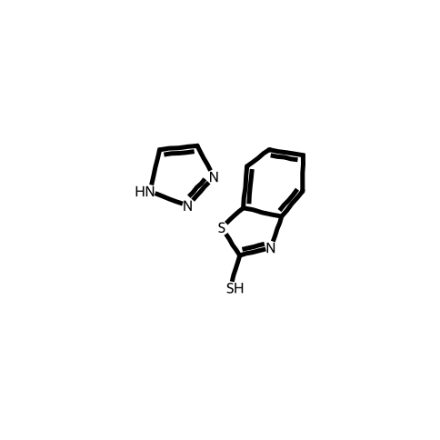 Sc1nc2ccccc2s1.c1c[nH]nn1